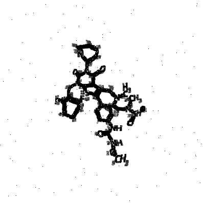 CONC(=O)Nc1ccc(-c2sc3c(c2CN(C)CCN(C)[SH](=O)=O)c(=O)n(-c2ccccn2)c(=O)n3Cc2c(F)cccc2F)cc1